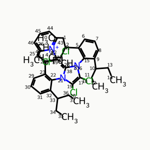 CCC(CC)c1cccc(C(CC)CC)c1-n1c(Cl)c(Cl)n(-c2c(C(CC)CC)cccc2C(CC)CC)[c]1=[Pd]([Cl])([Cl])[n+]1ccccc1C